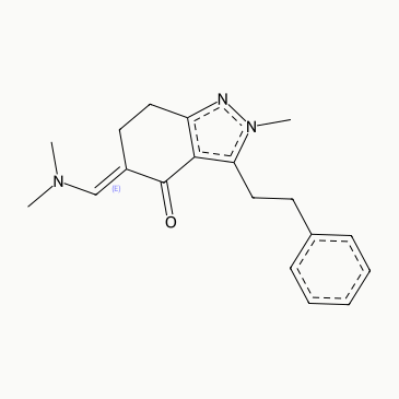 CN(C)/C=C1\CCc2nn(C)c(CCc3ccccc3)c2C1=O